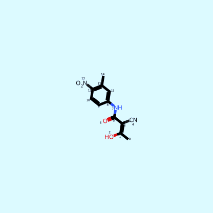 C/C(O)=C(\C#N)C(=O)Nc1ccc([N+](=O)[O-])c(C)c1